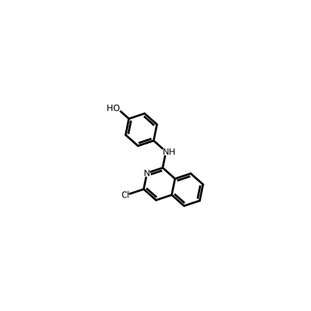 Oc1ccc(Nc2nc(Cl)cc3ccccc23)cc1